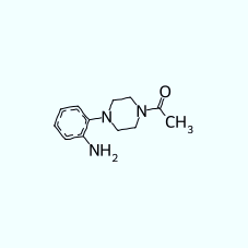 CC(=O)N1CCN(c2ccccc2N)CC1